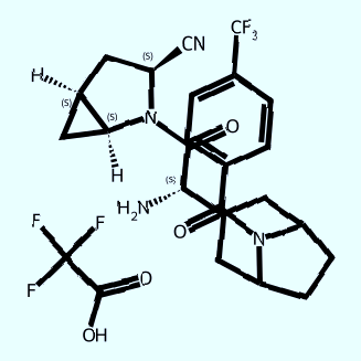 N#C[C@@H]1C[C@@H]2C[C@@H]2N1C(=O)[C@@H](N)C1CC2CCC(C1)N2C(=O)c1ccc(C(F)(F)F)cc1.O=C(O)C(F)(F)F